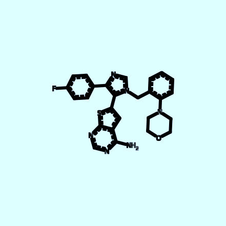 Nc1ncnc2sc(-c3c(-c4ccc(F)cc4)ncn3Cc3ccccc3N3CCOCC3)cc12